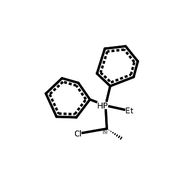 CC[PH](c1ccccc1)(c1ccccc1)[C@H](C)Cl